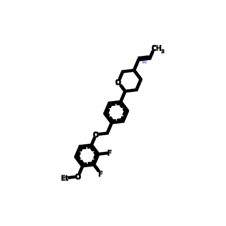 C/C=C/C1CCC(c2ccc(COc3ccc(OCC)c(F)c3F)cc2)OC1